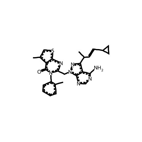 Cc1ccccc1-n1c(Cn2nc(C(C)/C=C/C3CC3)c3c(N)ncnc32)nc2scc(C)c2c1=O